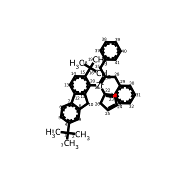 CC(C)(C)c1ccc2c(c1)Cc1c-2ccc(C(C)(C)C)[c]1[Zr]([C]1=CC=CC1)=[C](Cc1ccccc1)Cc1ccccc1